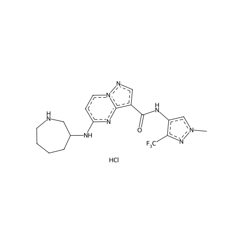 Cl.Cn1cc(NC(=O)c2cnn3ccc(NC4CCCCNC4)nc23)c(C(F)(F)F)n1